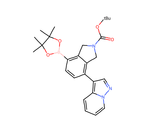 CC(C)(C)OC(=O)N1Cc2c(B3OC(C)(C)C(C)(C)O3)ccc(-c3cnn4ccccc34)c2C1